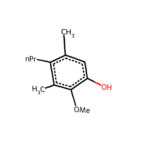 CCCc1c(C)cc(O)c(OC)c1C